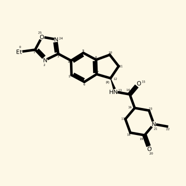 CCc1nc(-c2ccc3c(c2)CC[C@H]3NC(=O)C2CCC(=O)N(C)C2)no1